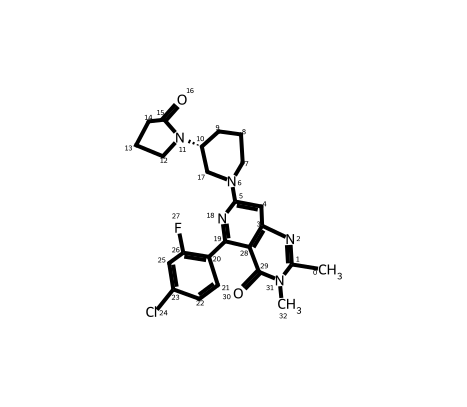 Cc1nc2cc(N3CCC[C@@H](N4CCCC4=O)C3)nc(-c3ccc(Cl)cc3F)c2c(=O)n1C